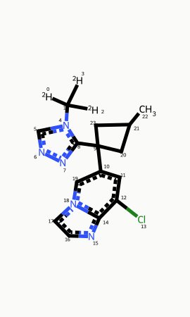 [2H]C([2H])([2H])n1cnnc1C1(c2cc(Cl)c3nccn3c2)CC(C)C1